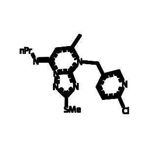 CCC/N=c1\cc(C)n(Cc2ccc(Cl)nc2)c2nc(SC)nn12